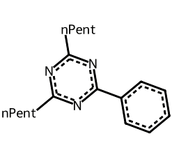 CCCCCc1nc(CCCCC)nc(-c2ccccc2)n1